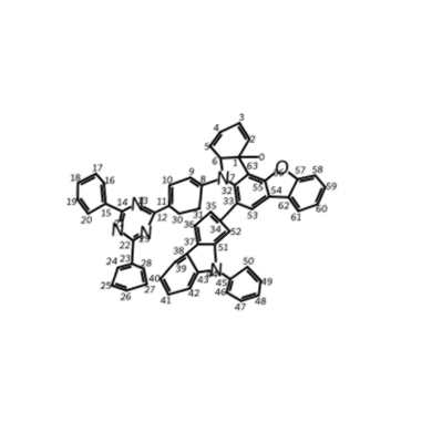 CC12C=CC=CC1N(C1=CC=C(c3nc(-c4ccccc4)nc(-c4ccccc4)n3)CC1)c1c(-c3ccc4c5ccccc5n(-c5ccccc5)c4c3)cc3c(oc4ccccc43)c12